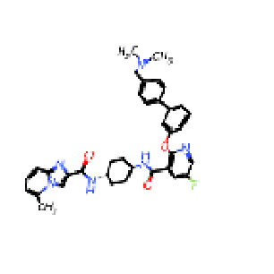 Cc1cccc2nc(C(=O)N[C@H]3CC[C@H](NC(=O)c4cc(F)cnc4Oc4cccc(-c5ccc(CN(C)C)cc5)c4)CC3)cn12